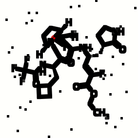 CCOC(=O)/C(F)=C/[C@@H](C[C@@H]1CCNC1=O)NC(=O)[C@@H]1[C@H]2CC[C@H](CC2(F)F)N1C(=O)[C@@H](CC1CCC1)NC(=O)C(F)(F)F